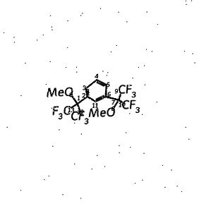 COC(c1cccc(C(OC)(C(F)(F)F)C(F)(F)F)c1)(C(F)(F)F)C(F)(F)F